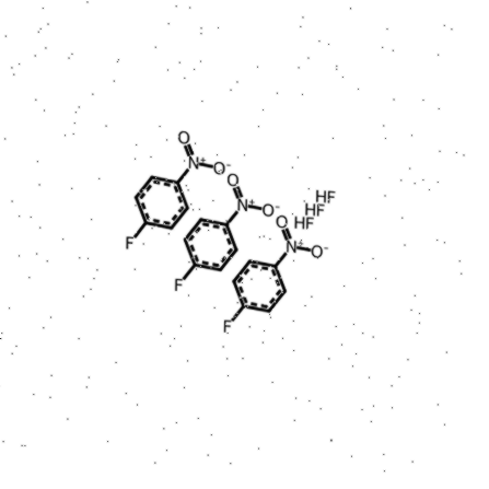 F.F.F.O=[N+]([O-])c1ccc(F)cc1.O=[N+]([O-])c1ccc(F)cc1.O=[N+]([O-])c1ccc(F)cc1